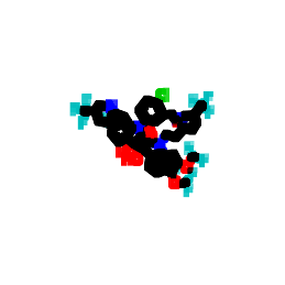 CCc1cc(N(CCc2ccc(C(F)(F)F)cn2)C(=O)[C@](O)(c2ccc(F)cc2)[C@](O)(C(=O)N(CCc2ccc(C(F)(F)F)cn2)c2ccc(OC(F)F)c(OC(F)F)c2)c2ccc(F)cc2)ccc1Cl